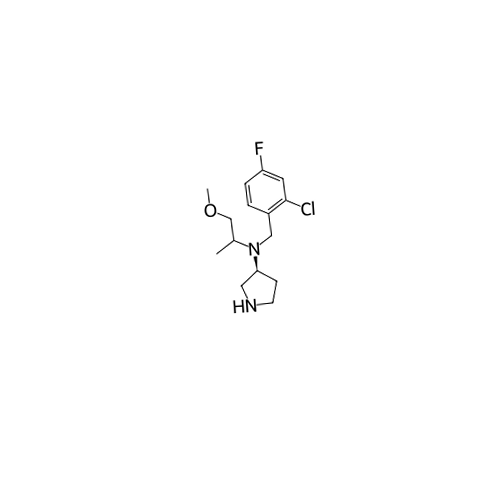 COCC(C)N(Cc1ccc(F)cc1Cl)[C@H]1CCNC1